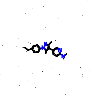 [CH2]Cc1ccc(-n2nc(C)c(-c3ccc(N(C)C)nc3)c2C)cc1